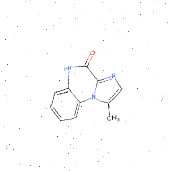 Cc1cnc2c(=O)[nH]c3ccccc3n12